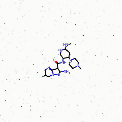 CNC1CC(N2CCN(C)CC2)C(NC(=O)C2C3=NCC(F)CN3NC2N)CN1